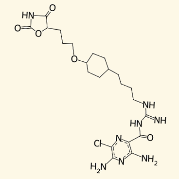 N=C(NCCCCC1CCC(OCCCC2OC(=O)NC2=O)CC1)NC(=O)c1nc(Cl)c(N)nc1N